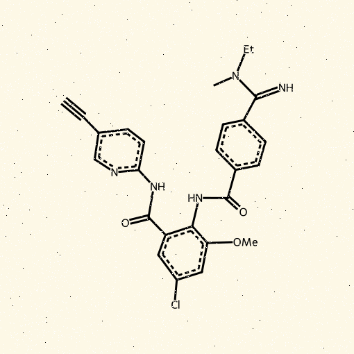 C#Cc1ccc(NC(=O)c2cc(Cl)cc(OC)c2NC(=O)c2ccc(C(=N)N(C)CC)cc2)nc1